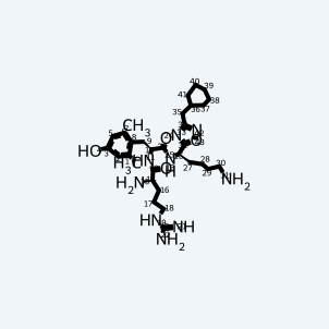 Cc1cc(O)cc(C)c1C[C@H](NC(=O)[C@H](N)CCCNC(=N)N)C(=O)N[C@H](CCCCN)c1nc(CC2CCCCC2)no1